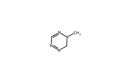 CN1CN=NC=N1